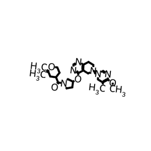 COC1=C(C)CN(N2CCc3ncnc(OC4CCN(C(=O)C5CCOC(C)(C)C5)C4)c3C2)C=N1